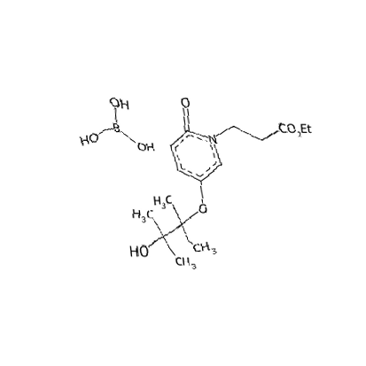 CCOC(=O)CCn1cc(OC(C)(C)C(C)(C)O)ccc1=O.OB(O)O